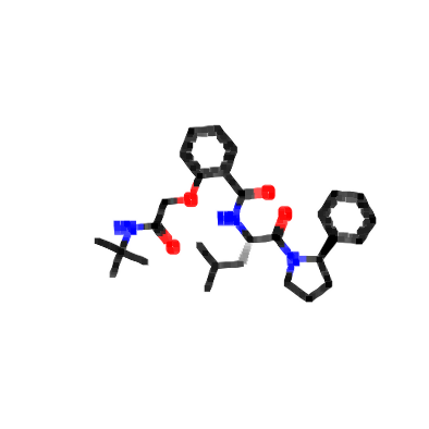 CC(C)C[C@H](NC(=O)c1ccccc1OCC(=O)NC(C)(C)C)C(=O)N1CCC[C@@H]1c1ccccc1